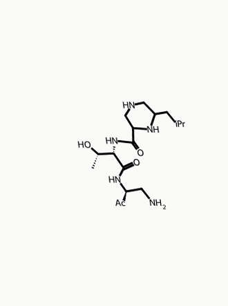 CC(=O)[C@H](CN)NC(=O)[C@@H](NC(=O)C1CNCC(CC(C)C)N1)[C@H](C)O